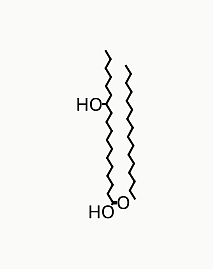 CCCCCCC(O)CCCCCCCCCCC(=O)O.CCCCCCCCCCCCCCCC